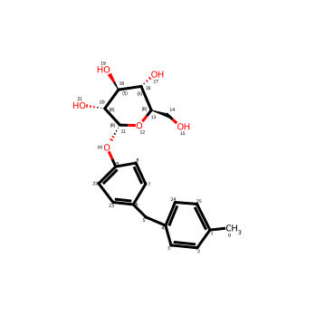 Cc1ccc(Cc2ccc(O[C@H]3O[C@H](CO)[C@@H](O)[C@H](O)[C@H]3O)cc2)cc1